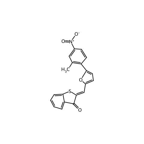 Cc1cc([N+](=O)[O-])ccc1-c1ccc(C=C2Sc3ccccc3C2=O)o1